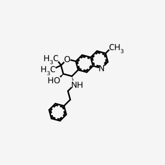 Cc1cnc2cc3c(cc2c1)OC(C)(C)[C@H](O)[C@H]3NCCc1ccccc1